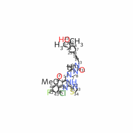 COC(=O)C1=C(CN2CCN3C(=O)N(CC#Cc4ccc(C(C)(C)O)cc4)C[C@@H]3C2)NC(c2nccs2)=N[C@H]1c1ccc(F)cc1Cl